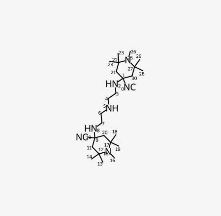 [C-]#[N+]C1(NCCNCCNC2(C#N)CC(C)(C)N(C)C(C)(C)C2)CC(C)(C)N(C)C(C)(C)C1